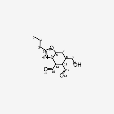 CCCC1=NC2C(CC(CO)C(C=O)C2C=O)O1